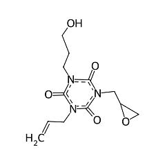 C=CCn1c(=O)n(CCCO)c(=O)n(CC2CO2)c1=O